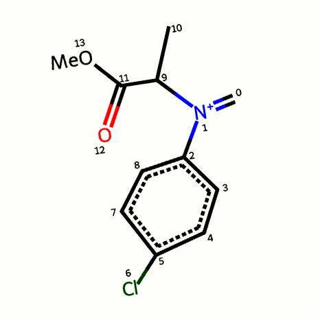 C=[N+](c1ccc(Cl)cc1)C(C)C(=O)OC